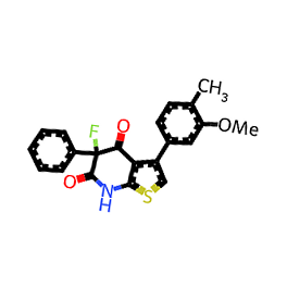 COc1cc(-c2csc3c2C(=O)C(F)(c2ccccc2)C(=O)N3)ccc1C